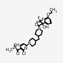 CCOc1cccc(C(O)(C(=O)N2CCC(CC3CCN(c4ccc(C(=O)N(C)C)c(Cl)n4)CC3)CC2)C(F)(F)F)c1